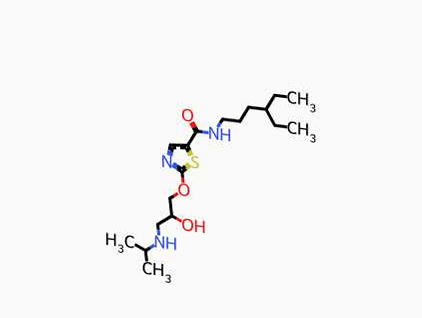 CCC(CC)CCCNC(=O)c1cnc(OCC(O)CNC(C)C)s1